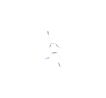 C=CCc1cc(O)c(CC=C)c(/C=N\O)c1O